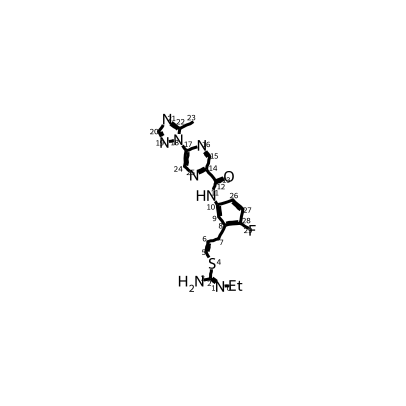 CC/N=C(/N)S/C=C\Cc1cc(NC(=O)c2cnc(-n3ncnc3C)cn2)ccc1F